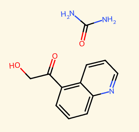 NC(N)=O.O=C(CO)c1cccc2ncccc12